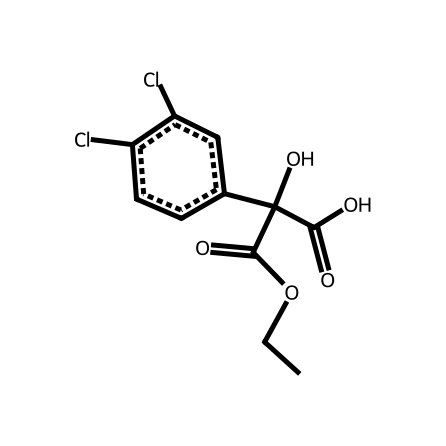 CCOC(=O)C(O)(C(=O)O)c1ccc(Cl)c(Cl)c1